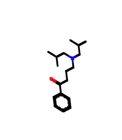 CC(C)CN(CCCC(=O)c1ccccc1)CC(C)C